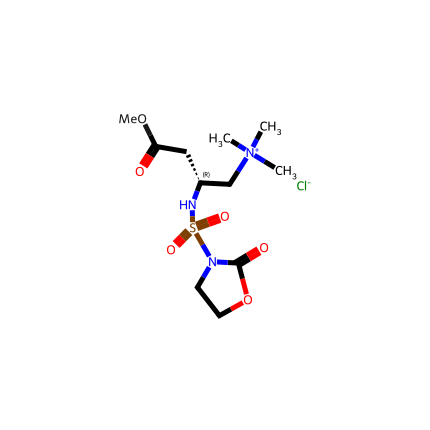 COC(=O)C[C@H](C[N+](C)(C)C)NS(=O)(=O)N1CCOC1=O.[Cl-]